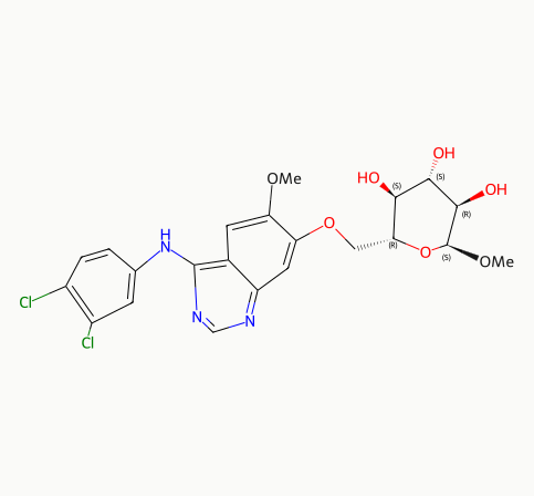 COc1cc2c(Nc3ccc(Cl)c(Cl)c3)ncnc2cc1OC[C@H]1O[C@H](OC)[C@H](O)[C@@H](O)[C@@H]1O